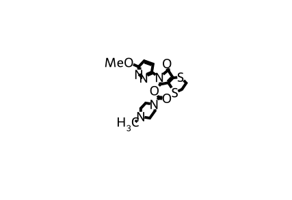 COc1ccc(N2C(=O)C3=C(SCCS3)C2OC(=O)N2CCN(C)CC2)nn1